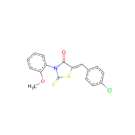 COc1ccccc1N1C(=O)C(=Cc2ccc(Cl)cc2)SC1=S